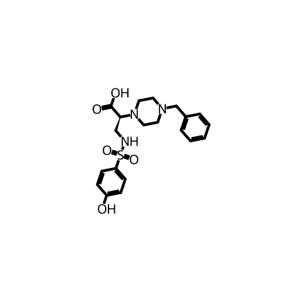 O=C(O)[C@H](CNS(=O)(=O)c1ccc(O)cc1)N1CCN(Cc2ccccc2)CC1